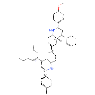 CCC/C=C(\CCC)C1C[C@H]([C@@H]2CC=C(C)CC2)NC2CC[C@H](C3=CCC4NC(C5=CCC(OC)CC5)CC(C5C=CCCC5)[C@@H]4C3)CC21